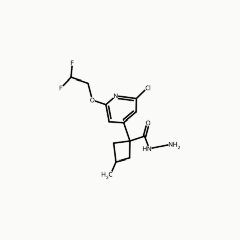 CC1CC(C(=O)NN)(c2cc(Cl)nc(OCC(F)F)c2)C1